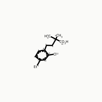 CCc1ccc(CCC(C)(C)C(=O)O)c(Cl)c1